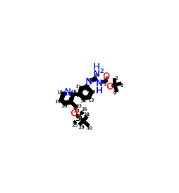 CC(C)(C)OC(=O)NC(N)=Nc1cccc(-c2ncccc2CO[Si](C)(C)C(C)(C)C)c1